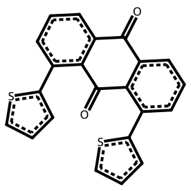 O=C1c2cccc(-c3cccs3)c2C(=O)c2c1cccc2-c1cccs1